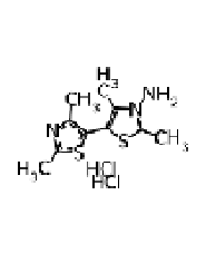 CC1=C(c2sc(C)nc2C)SC(C)N1N.Cl.Cl